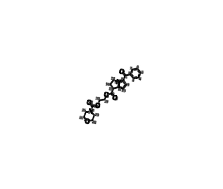 O=C(c1ccccc1)c1ccc2n1CCC2C(=O)OCCOC(=O)N1CCOCC1